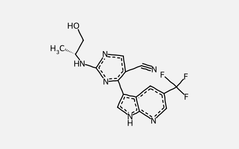 C[C@H](CO)Nc1ncc(C#N)c(-c2c[nH]c3ncc(C(F)(F)F)cc23)n1